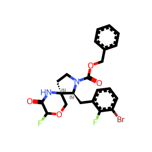 O=C1N[C@]2(CCN(C(=O)OCc3ccccc3)[C@H]2Cc2cccc(Br)c2F)COC1F